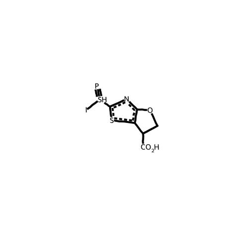 O=C(O)C1COc2nc([SH](#P)I)sc21